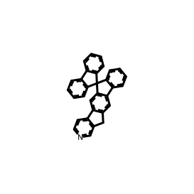 c1ccc2c(c1)-c1ccccc1C21c2ccccc2-c2cc3c(cc21)-c1ccncc1C3